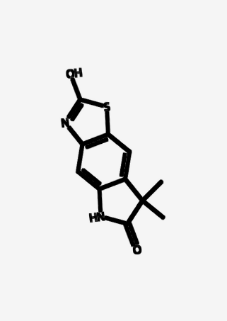 CC1(C)C(=O)Nc2cc3nc(O)sc3cc21